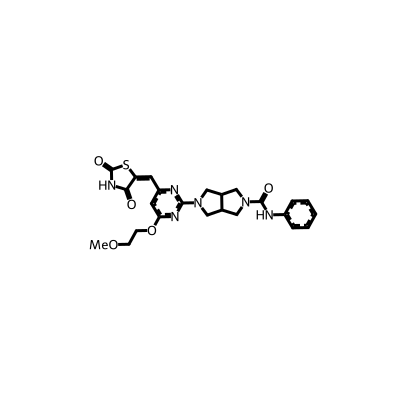 COCCOc1cc(/C=C2/SC(=O)NC2=O)nc(N2CC3CN(C(=O)Nc4ccccc4)CC3C2)n1